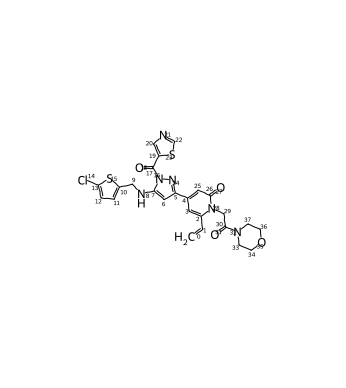 C=Cc1cc(-c2cc(NCc3ccc(Cl)s3)n(C(=O)c3cncs3)n2)cc(=O)n1CC(=O)N1CCOCC1